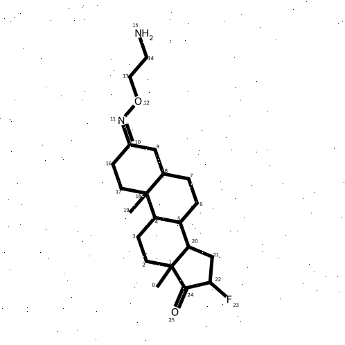 CC12CCC3C(CCC4CC(=NOCCN)CCC43C)C1CC(F)C2=O